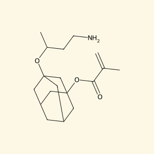 C=C(C)C(=O)OC12CC3CC(C1)CC(OC(C)CCN)(C3)C2